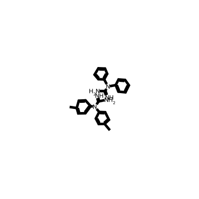 Cc1ccc(N(C(=N)N)c2ccc(C)cc2)cc1.N=C(N)N(c1ccccc1)c1ccccc1